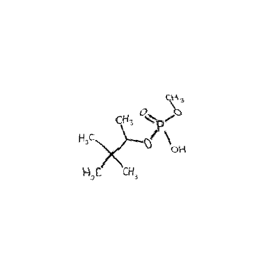 COP(=O)(O)OC(C)C(C)(C)C